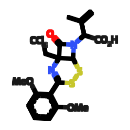 C=C(C)C(C(=O)O)N1C(=O)C2(CC(Cl)(Cl)Cl)N=C(c3c(OC)cccc3OC)SSC12